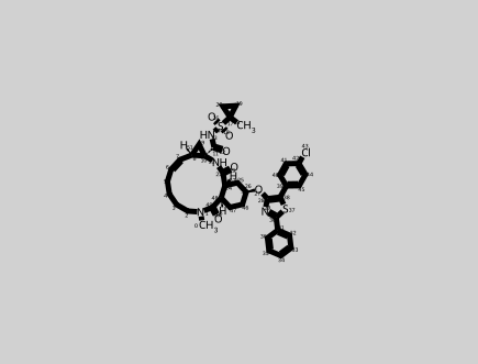 CN1CCCC/C=C\[C@H]2C[C@@]2(C(=O)NS(=O)(=O)C2(C)CC2)NC(=O)[C@@H]2C[C@@H](Oc3nc(-c4ccccc4)sc3-c3ccc(Cl)cc3)CC[C@H]2C1=O